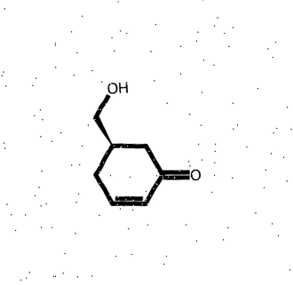 O=C1C=CC[C@@H](CO)C1